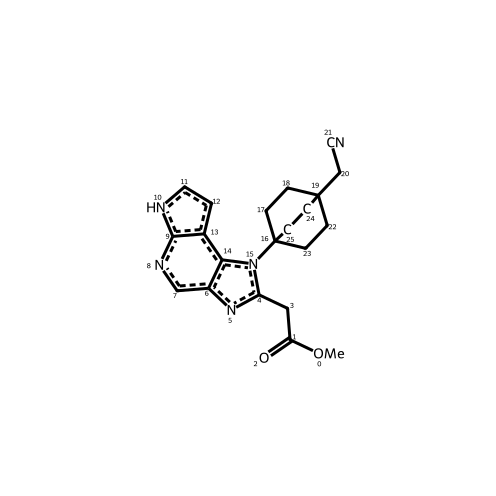 COC(=O)Cc1nc2cnc3[nH]ccc3c2n1C12CCC(CC#N)(CC1)CC2